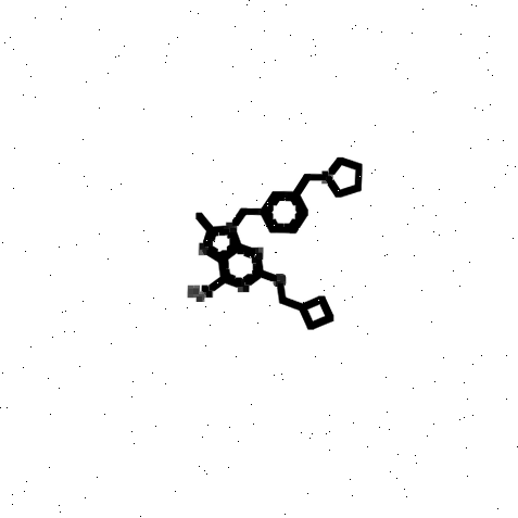 Cc1nc2c(N)nc(OCC3CCC3)nc2n1Cc1cccc(CN2CCCC2)c1